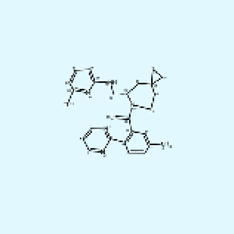 Cc1ccc(-c2ncccn2)c(C(=O)N2CCC3(CC3)C[C@H]2CNc2cccc(Cl)n2)c1